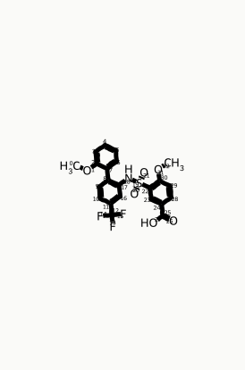 COc1ccccc1-c1ccc(C(F)(F)F)cc1NS(=O)(=O)c1cc(C(=O)O)ccc1OC